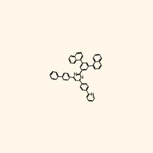 c1ccc(-c2ccc(-c3cc(-c4ccc(-c5ccccn5)cc4)nc(-c4cc(-c5cccc6ccccc56)cc(-c5cccc6ccccc56)c4)n3)cc2)cc1